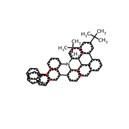 CC(C)(C)c1cc(-c2cccc3cccc(-c4ccccc4N(c4cccc(-c5cccc6ccccc56)c4)c4ccccc4-c4ccc5c(c4)oc4ccccc45)c23)cc(C(C)(C)C)c1